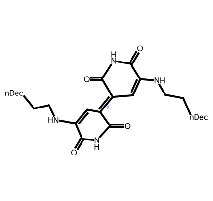 CCCCCCCCCCCCNC1=C/C(=C2/C=C(NCCCCCCCCCCCC)C(=O)NC2=O)C(=O)NC1=O